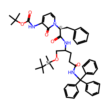 CC(C)(C)OC(=O)Nc1cccn([C@@H](Cc2ccccc2)C(=O)NC(CCC(=O)NC(c2ccccc2)(c2ccccc2)c2ccccc2)CO[Si](C)(C)C(C)(C)C)c1=O